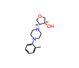 Cc1ccccc1N1CCN([C@@H]2COC[C@H]2O)CC1